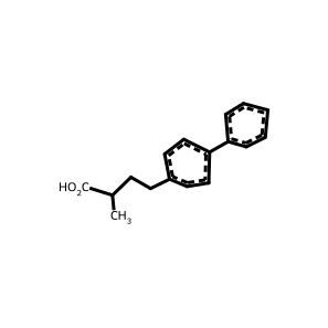 CC(CCc1ccc(-c2ccccc2)cc1)C(=O)O